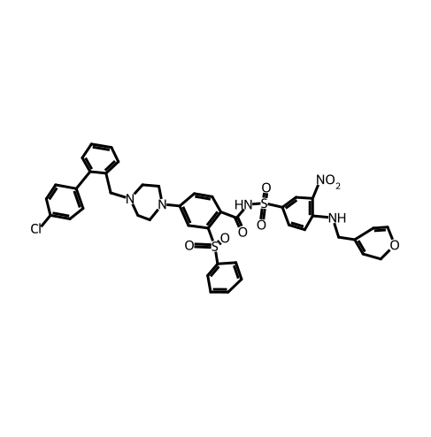 O=C(NS(=O)(=O)c1ccc(NCC2=CCOC=C2)c([N+](=O)[O-])c1)c1ccc(N2CCN(Cc3ccccc3-c3ccc(Cl)cc3)CC2)cc1S(=O)(=O)c1ccccc1